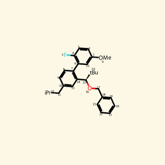 COc1ccc(F)c(-c2ccc(CC(C)C)cc2[C@H](OCc2ccccc2)C(C)(C)C)c1